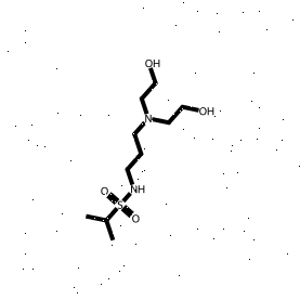 CC(C)S(=O)(=O)NCCCN(CCO)CCO